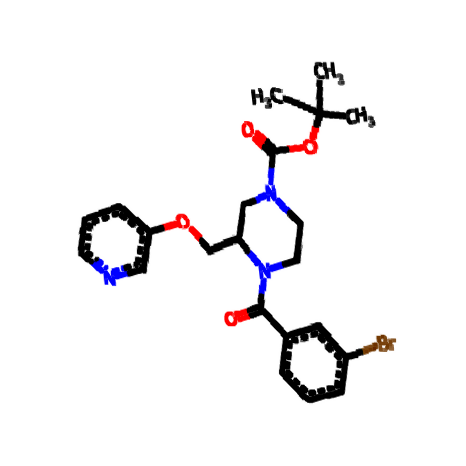 CC(C)(C)OC(=O)N1CCN(C(=O)c2cccc(Br)c2)C(COc2cccnc2)C1